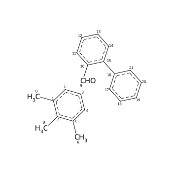 Cc1cccc(C)c1C.O=Cc1ccccc1-c1ccccc1